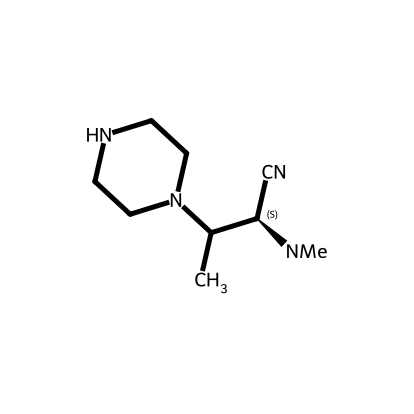 CN[C@H](C#N)C(C)N1CCNCC1